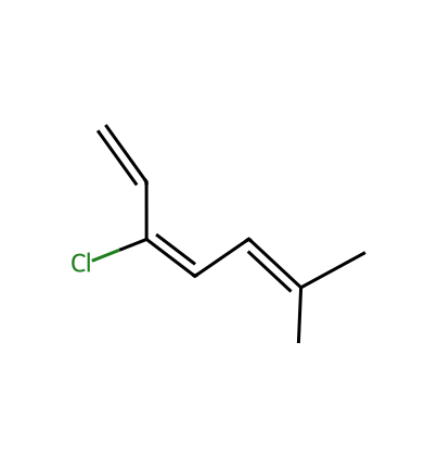 C=C/C(Cl)=C\C=C(C)C